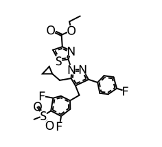 CCOC(=O)c1csc(-n2nc(-c3ccc(F)cc3)c(Cc3cc(F)c(S(C)(=O)=O)c(F)c3)c2CC2CC2)n1